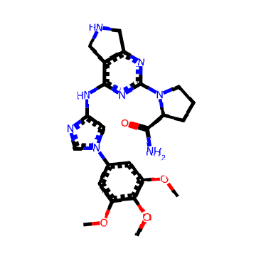 COc1cc(-n2cnc(Nc3nc(N4CCCC4C(N)=O)nc4c3CNC4)c2)cc(OC)c1OC